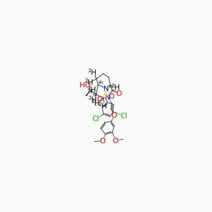 [2H]C1([2H])N(CCOc2ccc(OC)c(OC)c2)C(=O)[C@]2([2H])CCC([2H])([2H])[C@@]([2H])(N2S(=O)(=O)c2cc(Cl)cc(Cl)c2)[C@@]1([2H])[C@@H](C)O